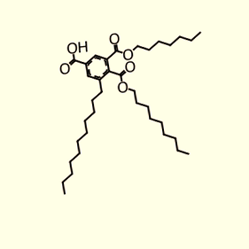 CCCCCCCCCCCc1cc(C(=O)O)cc(C(=O)OCCCCCCC)c1C(=O)OCCCCCCCCC